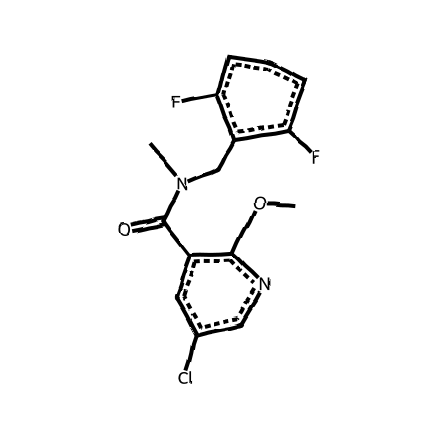 COc1ncc(Cl)cc1C(=O)N(C)Cc1c(F)cccc1F